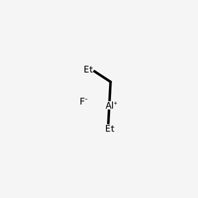 CC[CH2][Al+][CH2]C.[F-]